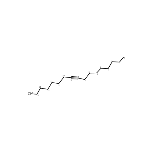 CCCCCCCCC#CCCCCCCCl